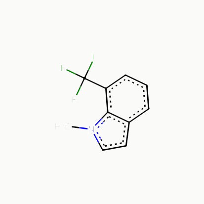 Cn1ccc2cccc(C(F)(F)F)c21